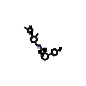 Cc1cn(-c2ccc(/C=C/c3nc4n(n3)CCC=C4c3ccc(F)cc3)cc2C)cn1